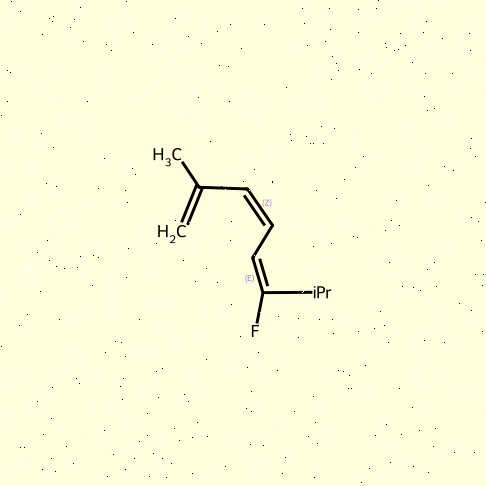 C=C(C)/C=C\C=C(\F)C(C)C